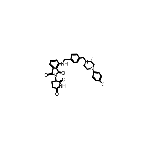 C[C@@H]1CN(c2ccc(Cl)cc2)CCN1Cc1ccc(CNc2cccc3c2C(=O)N(C2CCC(=O)NC2=O)C3=O)cc1